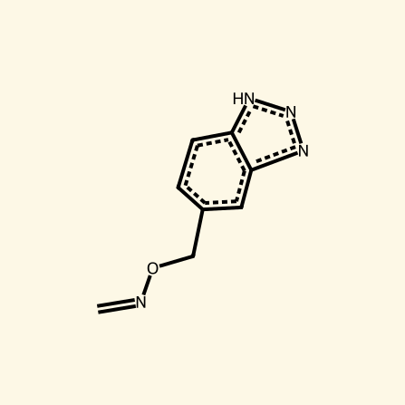 C=NOCc1ccc2[nH]nnc2c1